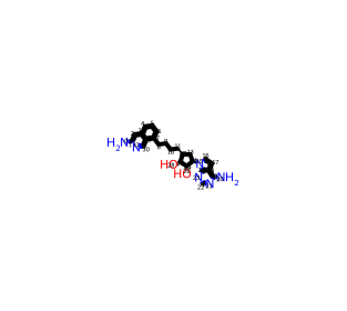 Nc1cc2cccc(CCCC[C@H]3C[C@@H](n4ccc5c(N)ncnc54)[C@H](O)[C@@H]3O)c2cn1